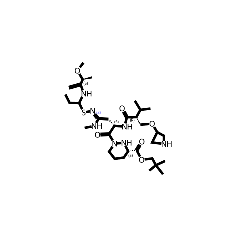 C=C(NC(CC)S/N=C(/C[C@H](NC(=O)[C@@H](COC1CNC1)C(C)C)C(=O)N1CCC[C@@H](C(=O)OCC(C)(C)C)N1)NC)[C@H](C)OC